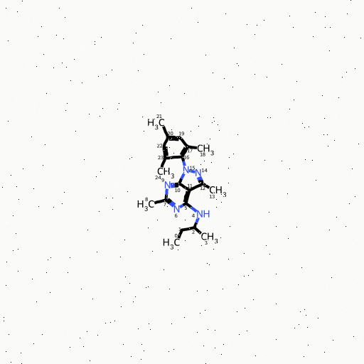 CCC(C)Nc1nc(C)nc2c1c(C)nn2-c1c(C)cc(C)cc1C